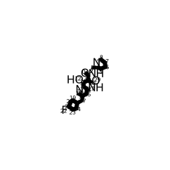 O=C(NCc1ccccn1)c1c(O)c2ncc(Cc3ccc(F)cc3)cc2[nH]c1=O